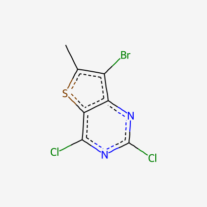 Cc1sc2c(Cl)nc(Cl)nc2c1Br